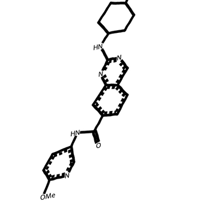 COc1ccc(NC(=O)c2ccc3cnc(NC4CCC(O)CC4)nc3c2)cn1